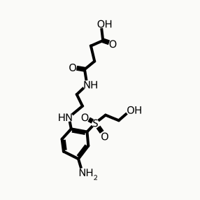 Nc1ccc(NCCNC(=O)CCC(=O)O)c(S(=O)(=O)CCO)c1